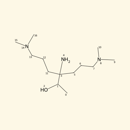 CC(O)C(N)(CCCN(C)C)CCCN(C)C